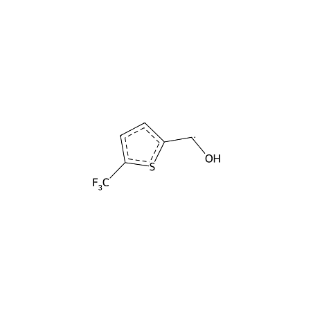 O[CH]c1ccc(C(F)(F)F)s1